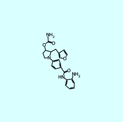 NC(=O)OC1CCN(c2ccc(C(=O)Nc3ccccc3N)cc2)C1Cc1ccoc1